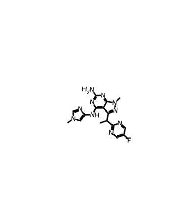 CC(c1ncc(F)cn1)c1nn(C)c2nc(N)nc(Nc3cn(C)cn3)c12